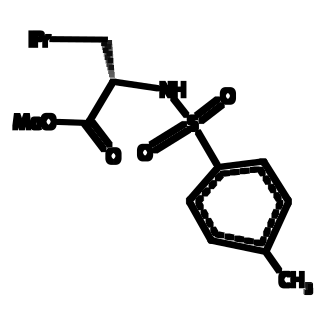 COC(=O)[C@H](CC(C)C)NS(=O)(=O)c1ccc(C)cc1